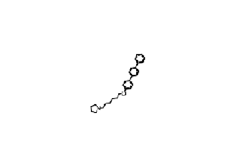 c1ccc(-c2ccc(-c3ccc(OCCCCCCN4CCCC4)cc3)cc2)cc1